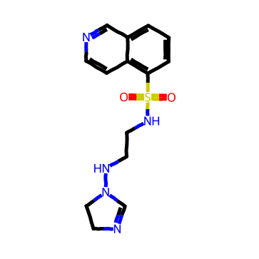 O=S(=O)(NCCNN1C=NCC1)c1cccc2cnccc12